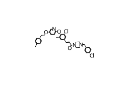 Cc1ccc(CCOc2ccc(Oc3c(C)cc(/C=C/C(=O)N4CCN(Cc5ccc(Cl)cc5)CC4)cc3Cl)nc2)cc1